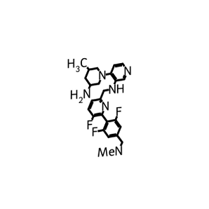 CNCc1cc(F)c(-c2nc(CNc3cnccc3N3CC(C)CC(N)C3)ccc2F)c(F)c1